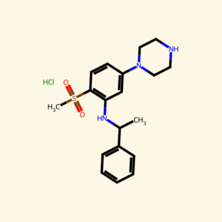 CC(Nc1cc(N2CCNCC2)ccc1S(C)(=O)=O)c1ccccc1.Cl